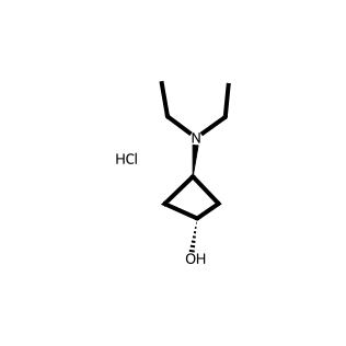 CCN(CC)[C@H]1C[C@H](O)C1.Cl